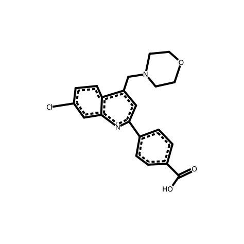 O=C(O)c1ccc(-c2cc(CN3CCOCC3)c3ccc(Cl)cc3n2)cc1